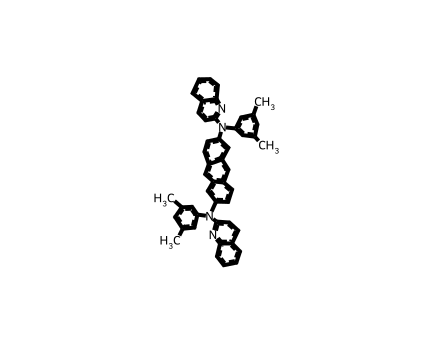 Cc1cc(C)cc(N(c2ccc3cc4cc(N(c5cc(C)cc(C)c5)c5ccc6ccccc6n5)ccc4cc3c2)c2ccc3ccccc3n2)c1